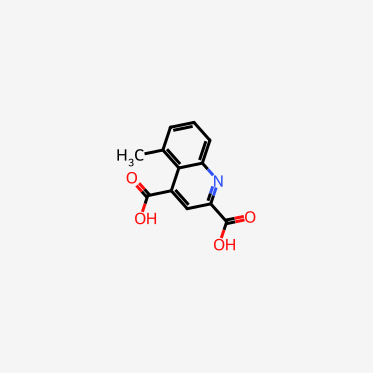 Cc1cccc2nc(C(=O)O)cc(C(=O)O)c12